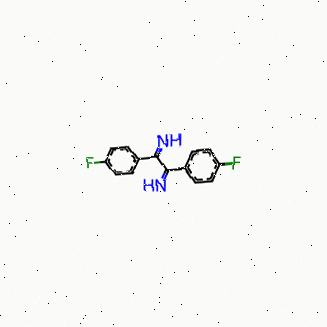 N=C(C(=N)c1ccc(F)cc1)c1ccc(F)cc1